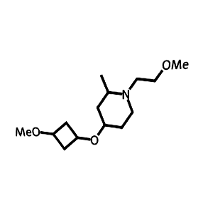 COCCN1CCC(OC2CC(OC)C2)CC1C